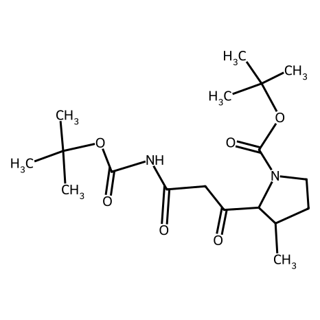 CC1CCN(C(=O)OC(C)(C)C)C1C(=O)CC(=O)NC(=O)OC(C)(C)C